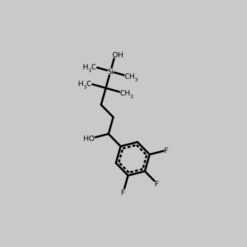 CC(C)(CCC(O)c1cc(F)c(F)c(F)c1)[Si](C)(C)O